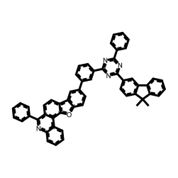 CC1(C)c2ccccc2-c2cc(-c3nc(-c4ccccc4)nc(-c4cccc(-c5ccc6oc7c(ccc8c(-c9ccccc9)nc9ccccc9c87)c6c5)c4)n3)ccc21